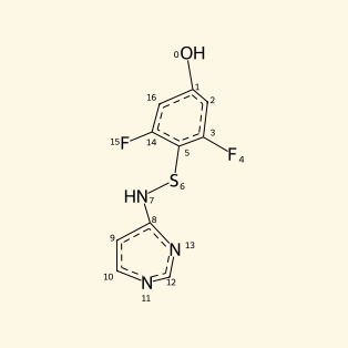 Oc1cc(F)c(SNc2ccncn2)c(F)c1